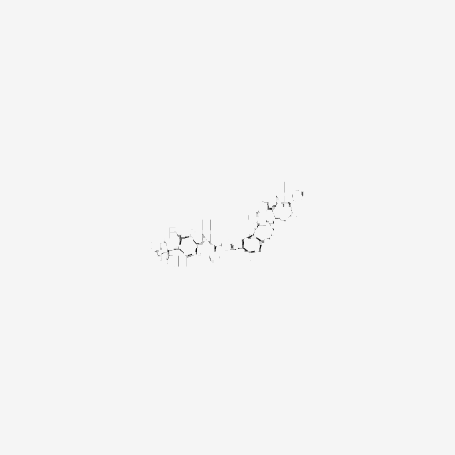 CC1(c2ccc(NC(=O)OCc3ccc4c(c3)C(=O)N(C3CCC(=O)NC3=O)C4)cc2F)COC1